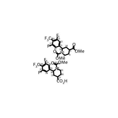 COC(=O)C1CCN(C(=O)OC)C(c2cc(F)c(C(F)(F)F)c(F)c2)C1.COC(=O)N1CCC(C(=O)O)CC1c1cc(F)c(C(F)(F)F)c(F)c1